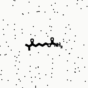 CC(C)C(=O)CCCCOC(N)=O